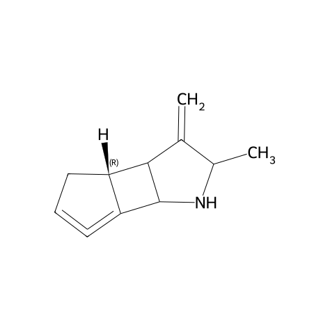 C=C1C(C)NC2C3=C=CC[C@@H]3C12